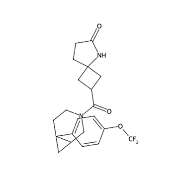 O=C1CCC2(CC(C(=O)N3CCC4(c5ccc(OC(F)(F)F)cc5)CC4C3)C2)N1